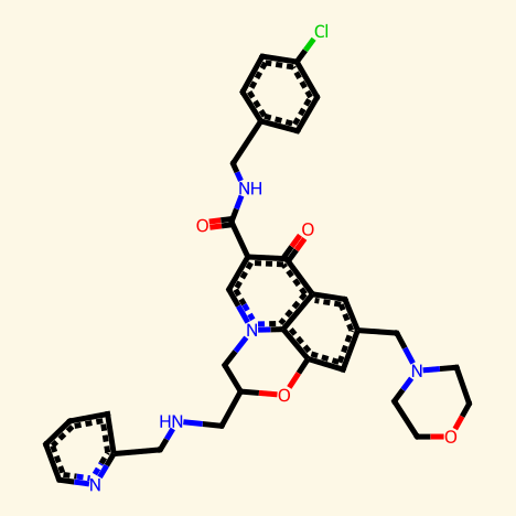 O=C(NCc1ccc(Cl)cc1)c1cn2c3c(cc(CN4CCOCC4)cc3c1=O)OC(CNCc1ccccn1)C2